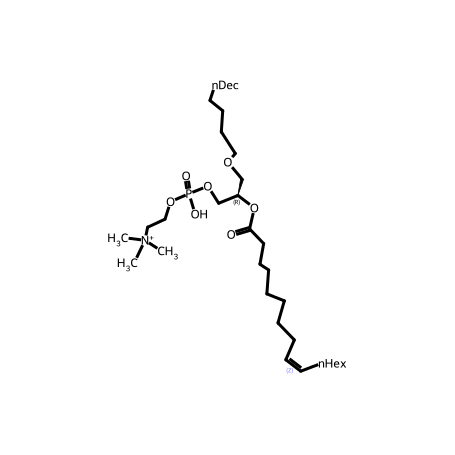 CCCCCC/C=C\CCCCCCCC(=O)O[C@H](COCCCCCCCCCCCCCC)COP(=O)(O)OCC[N+](C)(C)C